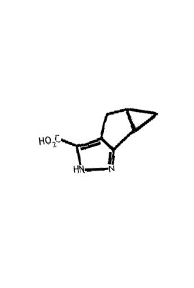 O=C(O)c1[nH]nc2c1CC1CC21